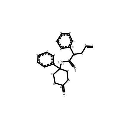 C=CCC(C(=O)NC1(c2ccccc2)CCC(=O)CC1)c1ccccc1